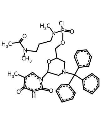 CC(=O)N(C)CCCN(C)P(=O)(Cl)OCC1CN(C(c2ccccc2)(c2ccccc2)c2ccccc2)CC(n2cc(C)c(=O)[nH]c2=O)O1